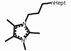 CCCCCCCCCCn1c(C)c(C)[n+](C)c1C